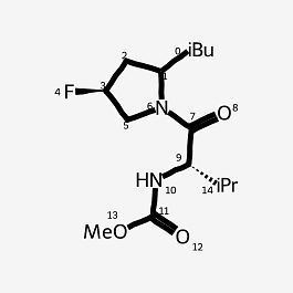 CCC(C)C1C[C@H](F)CN1C(=O)[C@@H](NC(=O)OC)C(C)C